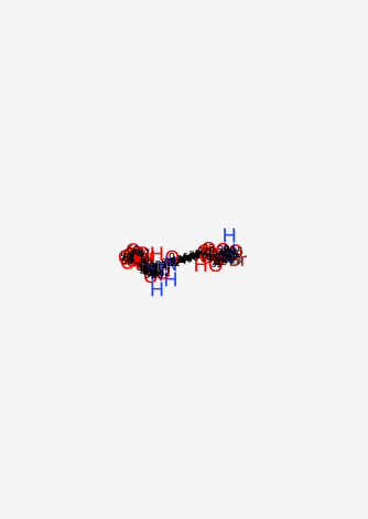 O=C(CCCCCCCCCOP(=O)(O)OCC1OC(n2cc(Br)c(=O)[nH]c2=O)CC1O)NC/C=C/c1cn(C2CCC(COP(=O)(O)OP(=O)(O)OP(=O)(O)O)O2)c(=O)[nH]c1=O